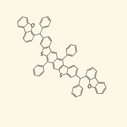 c1ccc(-c2c3cc4sc5cc(C(c6ccccc6)c6cccc7c6oc6ccccc67)ccc5c4c(-c4ccccc4)c3cc3c2sc2cc(C(c4ccccc4)c4cccc5c4oc4ccccc45)ccc23)cc1